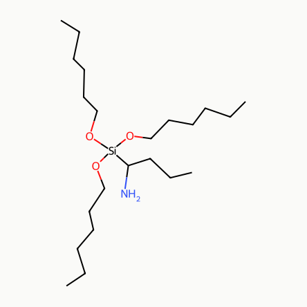 CCCCCCO[Si](OCCCCCC)(OCCCCCC)C(N)CCC